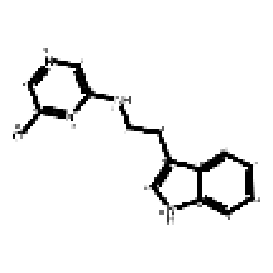 Clc1cncc(NCCc2c[nH]c3ccccc23)n1